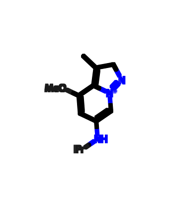 COc1cc(NC(C)C)c[n+]2c1=C(C)CN=2